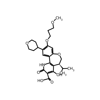 COCCCOc1cc2c(cc1C1CCOCC1)-c1[nH]c(=O)c(C(=O)O)c(O)c1[C@H](C(C)C)CO2